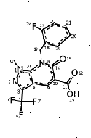 Cn1nc(C(F)(F)F)c2cc(C(=O)O)c(=O)n(Cc3ccccc3F)c21